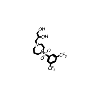 O=S(=O)(c1cc(C(F)(F)F)cc(C(F)(F)F)c1)N1CCCN(CC(O)CO)CC1